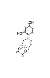 Oc1ccc(C2CCCC3(CC2)OCCO3)c(O)c1